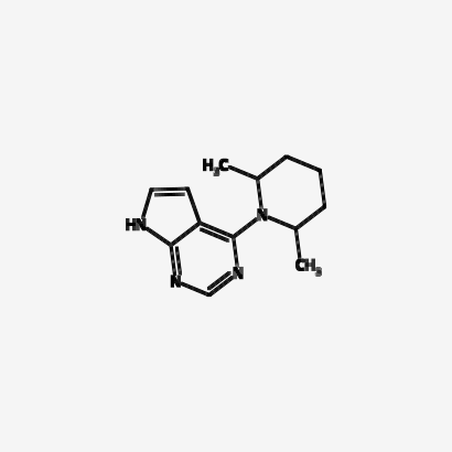 CC1CCCC(C)N1c1ncnc2[nH]ccc12